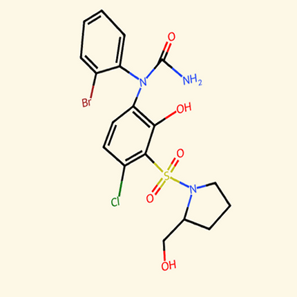 NC(=O)N(c1ccccc1Br)c1ccc(Cl)c(S(=O)(=O)N2CCCC2CO)c1O